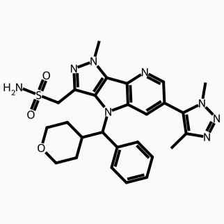 Cc1nnn(C)c1-c1cnc2c3c(c(CS(N)(=O)=O)nn3C)n(C(c3ccccc3)C3CCOCC3)c2c1